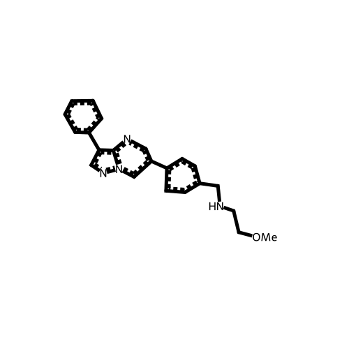 COCCNCc1ccc(-c2cnc3c(-c4ccccc4)cnn3c2)cc1